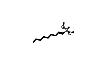 CCCCCCC/C=C/[Si](C)(OC)OC